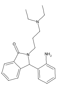 CCN(CC)CCCN1C(=O)c2ccccc2C1c1ccccc1N